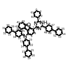 c1ccc(C2=NC(c3ccc(N(c4ccc(-c5ccccc5)cc4)c4ccc(-c5ccccc5)cc4)c4c3oc3ccccc34)=NC(c3ccc(-c4ccccc4)cc3)N2)cc1